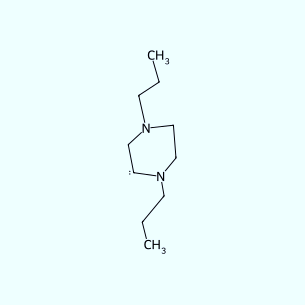 CCCN1[C]CN(CCC)CC1